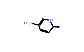 CC1C=CC(C(=O)O)=CN1